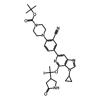 CC(C)(C)OC(=O)N1CCN(c2ccc(-c3cc4ncn(C5CC5)c4c(OC(C)(I)C4CNC(=O)C4)n3)cc2C#N)CC1